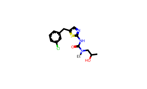 CCN(CC(C)O)C(=O)Nc1ncc(Cc2cccc(Cl)c2)s1